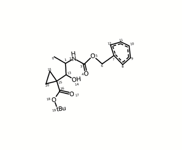 CC(NC(=O)OCc1ccccc1)C(O)C1(C(=O)OC(C)(C)C)CC1